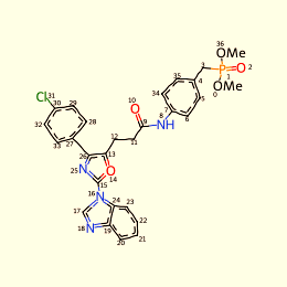 COP(=O)(Cc1ccc(NC(=O)CCc2oc(-n3cnc4ccccc43)nc2-c2ccc(Cl)cc2)cc1)OC